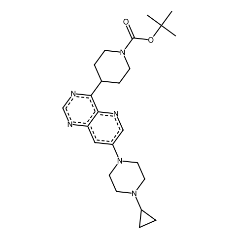 CC(C)(C)OC(=O)N1CCC(c2ncnc3cc(N4CCN(C5CC5)CC4)cnc23)CC1